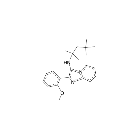 COc1ccccc1-c1nc2ccccn2c1NC(C)(C)CC(C)(C)C